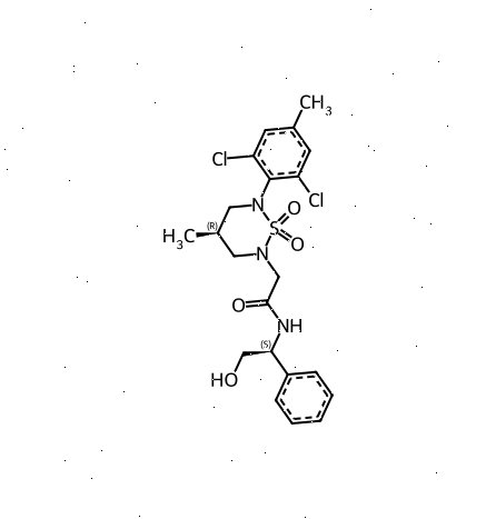 Cc1cc(Cl)c(N2C[C@H](C)CN(CC(=O)N[C@H](CO)c3ccccc3)S2(=O)=O)c(Cl)c1